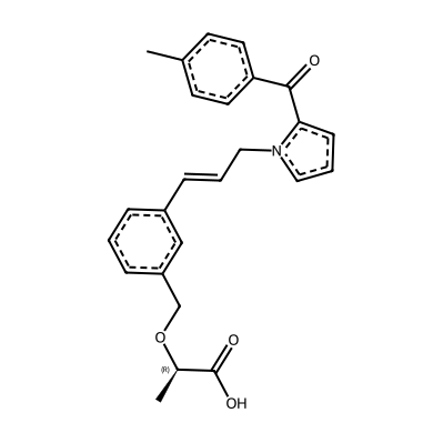 Cc1ccc(C(=O)c2cccn2CC=Cc2cccc(CO[C@H](C)C(=O)O)c2)cc1